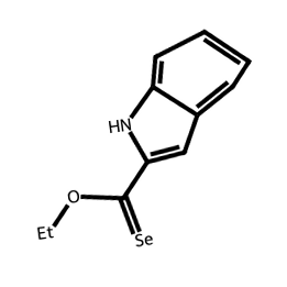 CCOC(=[Se])c1cc2ccccc2[nH]1